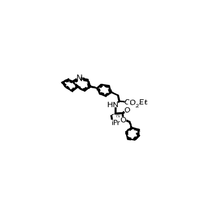 CCOC(=O)C(Cc1ccc(-c2cnc3ccccc3c2)cc1)N[C@@H](CC(C)C)C(=O)OCc1ccccc1